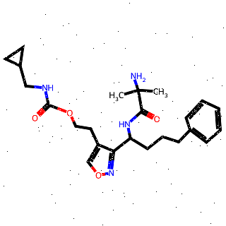 CC(C)(N)C(=O)NC(CCCc1ccccc1)c1nocc1CCOC(=O)NCC1CC1